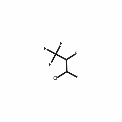 CC(Cl)C(F)C(F)(F)F